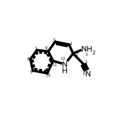 N#CC1(N)C=Cc2ccccc2N1